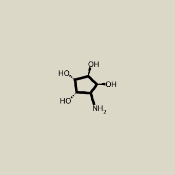 NC1[C@H](O)[C@H](O)[C@@H](O)[C@H]1O